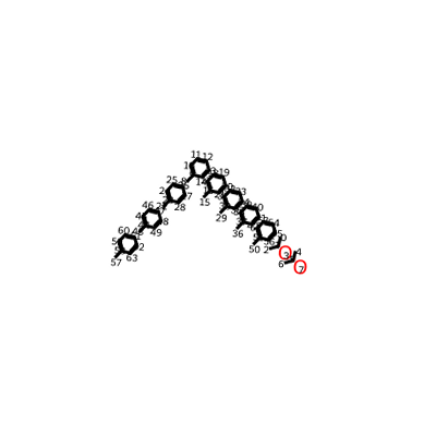 CC(C)=O.CC(C)=O.Cc1ccccc1.Cc1ccccc1.Cc1ccccc1.Cc1ccccc1.Cc1ccccc1.Cc1ccccc1.Cc1ccccc1.Cc1ccccc1